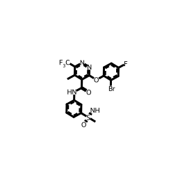 Cc1c(C(F)(F)F)nnc(Oc2ccc(F)cc2Br)c1C(=O)Nc1cccc(S(C)(=N)=O)c1